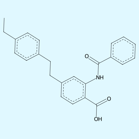 CCc1ccc(CCc2ccc(C(=O)O)c(NC(=O)c3ccccc3)c2)cc1